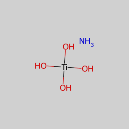 N.[OH][Ti]([OH])([OH])[OH]